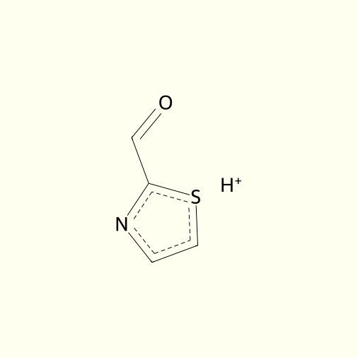 O=Cc1nccs1.[H+]